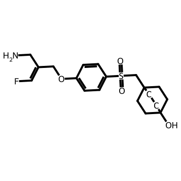 NCC(=CF)COc1ccc(S(=O)(=O)CC23CCC(O)(CC2)CC3)cc1